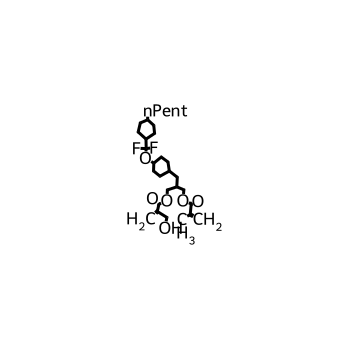 C=C(C)C(=O)OCC(COC(=O)C(=C)CO)CC1CCC(OC(F)(F)C2CCC(CCCCC)CC2)CC1